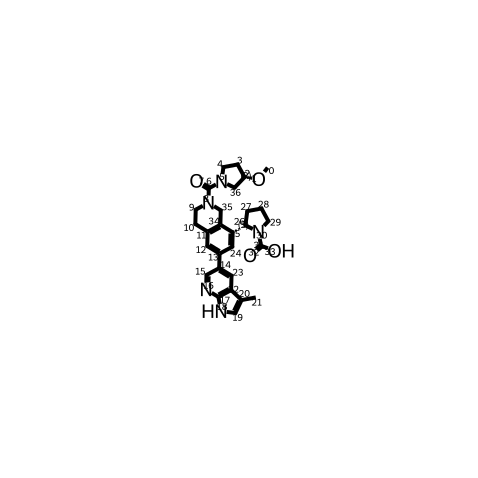 CO[C@@H]1CCN(C(=O)N2CCc3cc(-c4cnc5[nH]cc(C)c5c4)cc([C@@H]4CCCN4C(=O)O)c3C2)C1